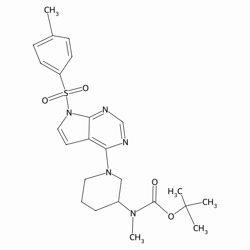 Cc1ccc(S(=O)(=O)n2ccc3c(N4CCCC(N(C)C(=O)OC(C)(C)C)C4)ncnc32)cc1